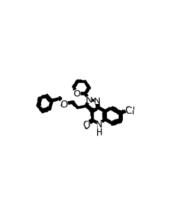 O=c1[nH]c2ccc(Cl)cc2c2nn(C3CCCCO3)c(CCOCc3ccccc3)c12